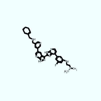 CN(C)CCNc1cc(F)cc(-c2ccnc3[nH]c(-c4n[nH]c5ncc(-c6cncc(CNCC7CCCCC7)c6)cc45)nc23)c1